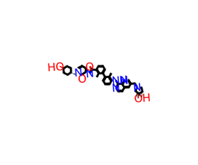 Cc1c(Nc2nccc3cc(CN4CC[C@@H](O)C4)cnc23)cccc1-c1cccc(-c2nc3c(=O)n(C[C@H]4CC[C@H](O)CC4)ccc3o2)c1C